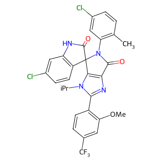 COc1cc(C(F)(F)F)ccc1-c1nc2c(n1C(C)C)C1(C(=O)Nc3cc(Cl)ccc31)N(c1cc(Cl)ccc1C)C2=O